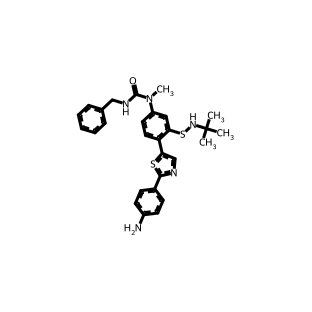 CN(C(=O)NCc1ccccc1)c1ccc(-c2cnc(-c3ccc(N)cc3)s2)c(SNC(C)(C)C)c1